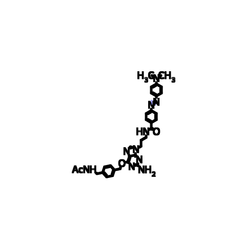 CC(=O)NCc1ccc(COc2nc(N)nc3c2ncn3CCCNC(=O)c2ccc(/N=N/c3ccc(N(C)C)cc3)cc2)cc1